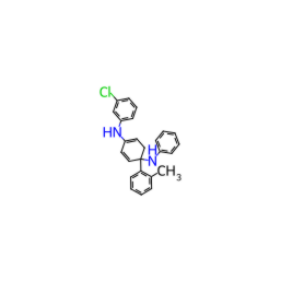 Cc1ccccc1C1(Nc2ccccc2)C=CC(Nc2cccc(Cl)c2)=CC1